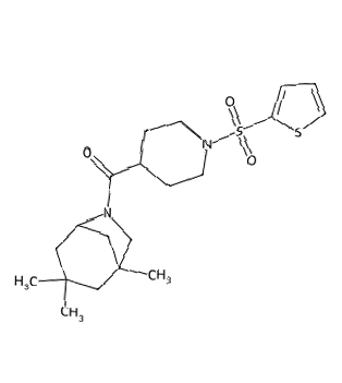 CC1(C)CC2CC(C)(CN2C(=O)C2CCN(S(=O)(=O)c3cccs3)CC2)C1